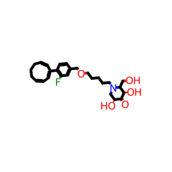 O=C1[C@@H](O)CN(CCCCCOCc2ccc(C3=C/C=C\CCC/C=C\3)c(F)c2)C(CO)[C@H]1O